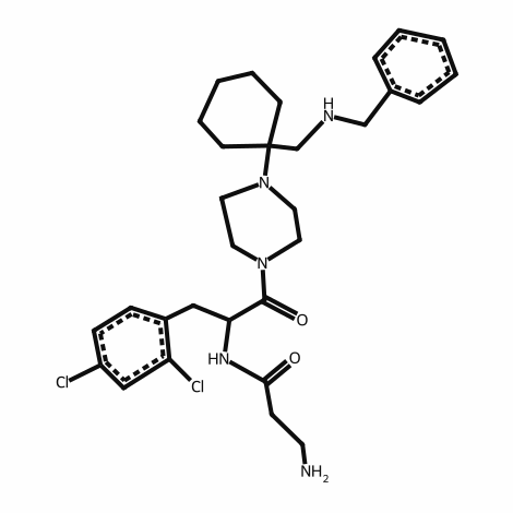 NCCC(=O)NC(Cc1ccc(Cl)cc1Cl)C(=O)N1CCN(C2(CNCc3ccccc3)CCCCC2)CC1